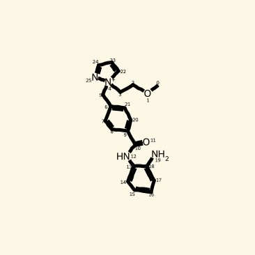 COCC[N+]1(Cc2ccc(C(=O)Nc3ccccc3N)cc2)C=CC=N1